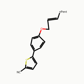 CCCCCC=CCOc1ccc(-c2ccc(C#N)s2)cc1